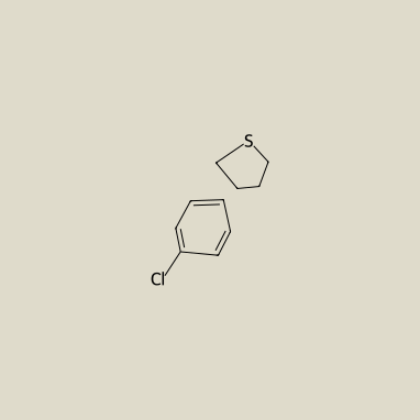 C1CCSC1.Clc1ccccc1